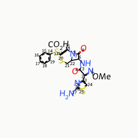 CON=C(C(=O)NC1C(=O)N2C(C(=O)O)=C(Sc3ccccc3)SCC12)c1csc(N)n1